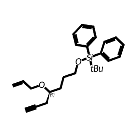 C#CC[C@H](CCCO[Si](c1ccccc1)(c1ccccc1)C(C)(C)C)OCC=C